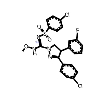 CON/C(=N/S(=O)(=O)c1ccc(Cl)cc1)N1CC(c2cccc(F)c2)C(c2ccc(Cl)cc2)=N1